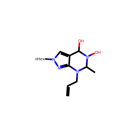 C=CCN1c2nn(CCCCCC)cc2C(O)N(O)C1C